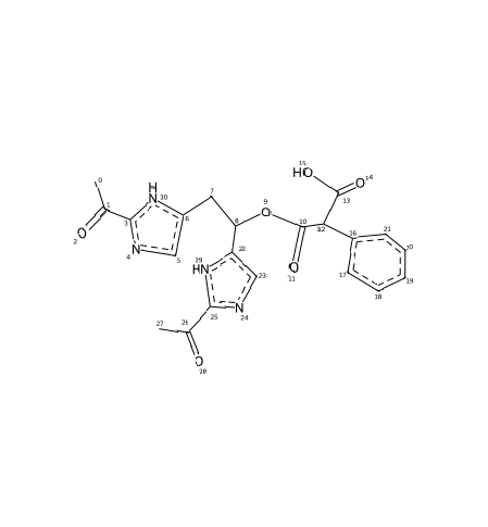 CC(=O)c1ncc(CC(OC(=O)C(C(=O)O)c2ccccc2)c2cnc(C(C)=O)[nH]2)[nH]1